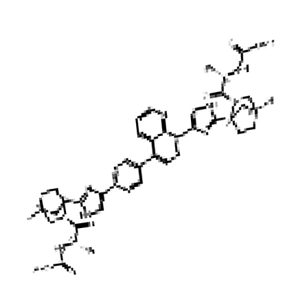 COC(=O)N[C@H](C(=O)N1C[C@@H]2CC[C@@]1(c1nc(-c3ccc(-c4ccc(-c5c[nH]c([C@@]67CC[C@@H](CN6C(=O)[C@@H](NC(=O)OC)C(C)C)C7)n5)c5ncccc45)cc3)c[nH]1)C2)C(C)C